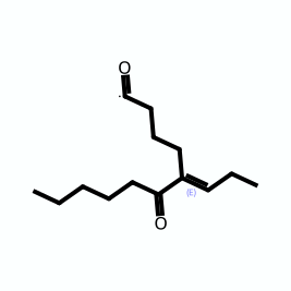 CC/C=C(\CCC[C]=O)C(=O)CCCCC